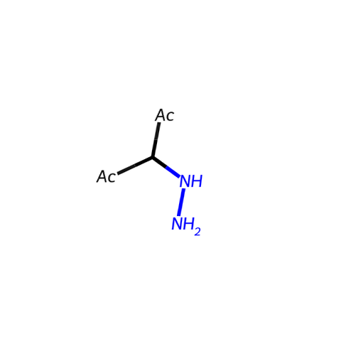 CC(=O)C(NN)C(C)=O